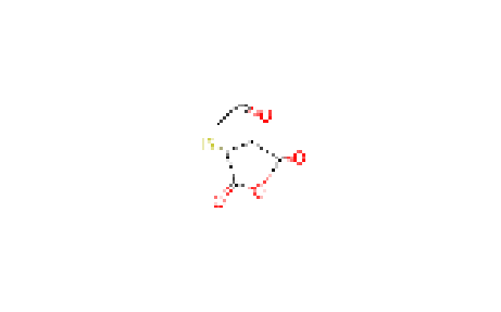 CC=O.O=C1CC(S)C(=O)O1